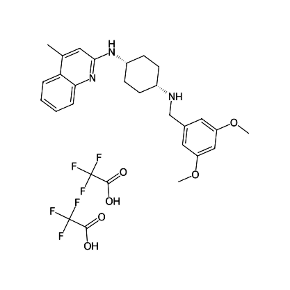 COc1cc(CN[C@H]2CC[C@@H](Nc3cc(C)c4ccccc4n3)CC2)cc(OC)c1.O=C(O)C(F)(F)F.O=C(O)C(F)(F)F